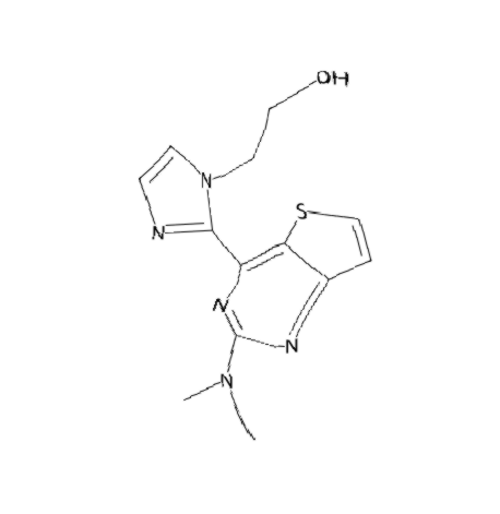 CN(C)c1nc(-c2nccn2CCO)c2sccc2n1